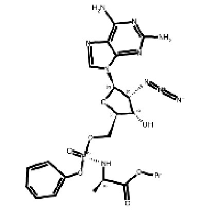 CC(C)OC(=O)[C@@H](C)N[P@](=O)(OC[C@H]1O[C@@H](n2cnc3c(N)nc(N)nc32)[C@H](N=[N+]=[N-])[C@@H]1O)Oc1ccccc1